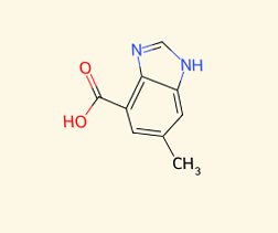 Cc1cc(C(=O)O)c2nc[nH]c2c1